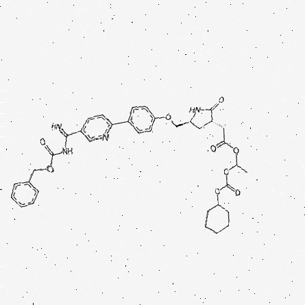 CC(OC(=O)C[C@@H]1C[C@@H](COc2ccc(-c3ccc(C(=N)NC(=O)OCc4ccccc4)cn3)cc2)NC1=O)OC(=O)OC1CCCCC1